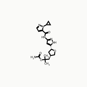 CC(C)(C[C@@H]1CO[C@@H](c2cc(NC(=O)c3ccnn3C3CC3)n[nH]2)C1)OC(N)=O